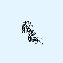 Cc1cnc2c(c1)N(C1CCN(C(=O)c3ccc(-c4ccccc4OCC(C)(C)C(=O)O)cc3F)CC1)C(=O)C(C)O2